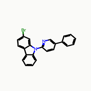 Brc1ccc2c3ccccc3n(-c3ccc(-c4ccccc4)cn3)c2c1